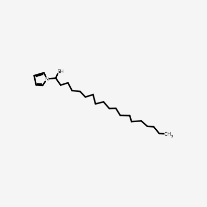 CCCCCCCCCCCCCCCCCCC(S)n1cccc1